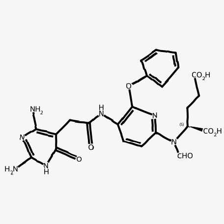 Nc1nc(N)c(CC(=O)Nc2ccc(N(C=O)[C@@H](CCC(=O)O)C(=O)O)nc2Oc2ccccc2)c(=O)[nH]1